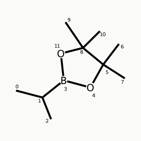 CC(C)B1OC(C)(C)C(C)(C)O1